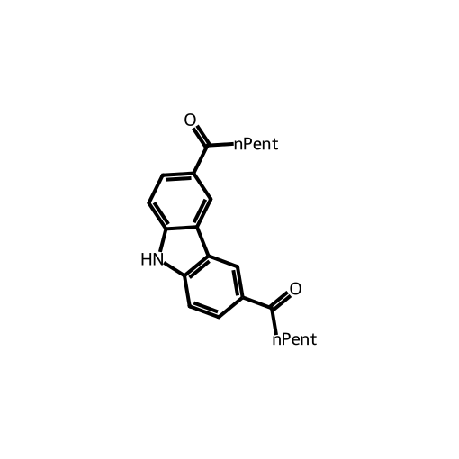 CCCCCC(=O)c1ccc2[nH]c3ccc(C(=O)CCCCC)cc3c2c1